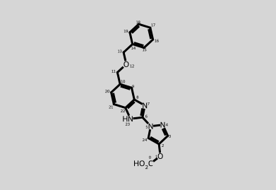 O=C(O)Oc1cnn(-c2nc3cc(COCc4ccccc4)ccc3[nH]2)c1